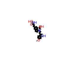 COc1ccc2c(CCN(CCO)C3CCc4cc(C=CC(=O)NO)ccc43)c[nH]c2c1